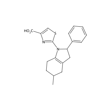 CC1CCC2=C(C1)CC(c1ccccc1)N2c1nc(C(=O)O)cs1